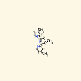 Cc1ccnc(-c2cc(C)cc(-c3cc(C)ccn3)n2)c1